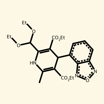 CCOC(=O)C1=C(C)NC(C(OCC)OCC)=C(C(=O)OCC)C1c1cccc2nonc12